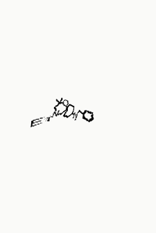 CCN1CC(C)(C)OC2(CCC(N(C)Cc3ccccc3)CC2)C1